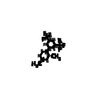 C[C@@H]1CN(C)CCN1c1cc(C(F)(F)F)cc(C(F)(F)F)c1